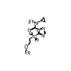 CCOCCS(=O)(=O)c1ncnn1C(=O)N(CC)C1CC1